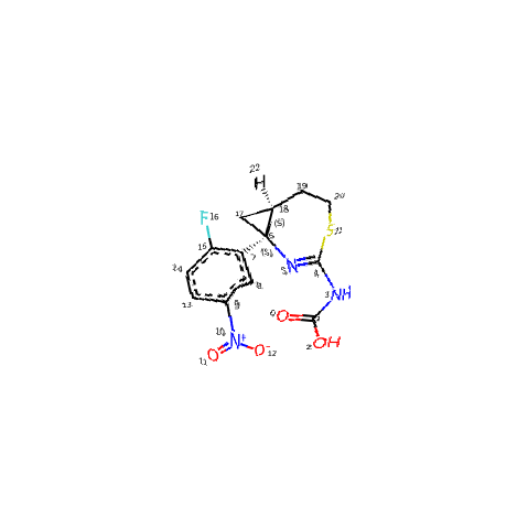 O=C(O)NC1=N[C@@]2(c3cc([N+](=O)[O-])ccc3F)C[C@H]2CCS1